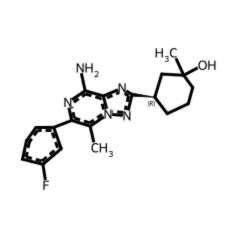 Cc1c(-c2cccc(F)c2)nc(N)c2nc([C@@H]3CCCC(C)(O)C3)nn12